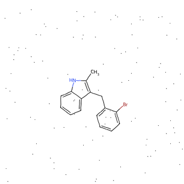 Cc1[nH]c2ccccc2c1Cc1ccccc1Br